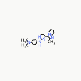 Cc1nc2ccccn2c1-c1ccnc(Nc2ccc(N(C)C)cc2)n1